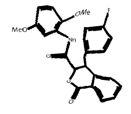 COc1ccc(OC)c(NC(=O)C2OC(=O)c3ccccc3C2c2ccc(F)cc2)c1